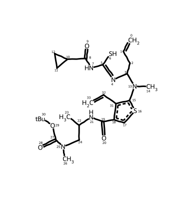 C=CCC(N=C(S)NC(=O)C1CC1)N(C)c1scc(C(=O)NC(C)CN(C)C(=O)OC(C)(C)C)c1C=C